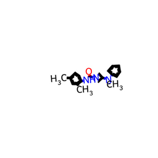 Cc1ccc(NC(=O)N2CC(N(C)c3ccccc3)C2)c(C)c1